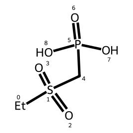 CCS(=O)(=O)CP(=O)(O)O